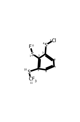 FSc1c(SCl)cccc1SC(F)(F)F